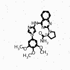 COc1cc(-n2cnc(Nc3nc(N4CCC[C@H]4C(N)=O)nc4ccccc34)c2)cc(OC)c1OC